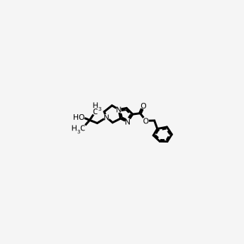 CC(C)(O)CN1CCn2cc(C(=O)OCc3ccccc3)nc2C1